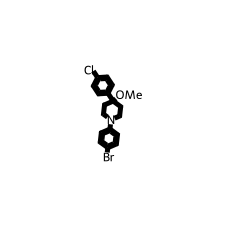 COC1(c2ccc(Cl)cc2)CCN(c2ccc(Br)cc2)CC1